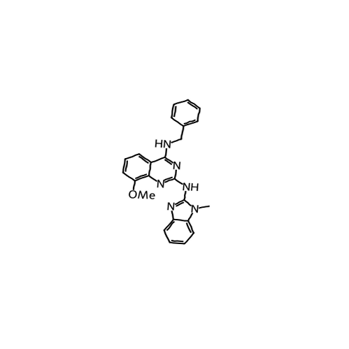 COc1cccc2c(NCc3ccccc3)nc(Nc3nc4ccccc4n3C)nc12